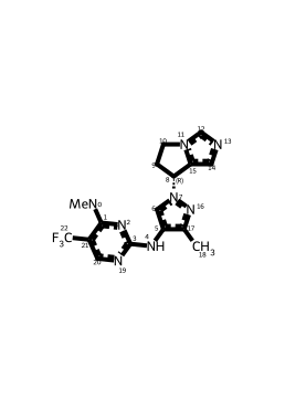 CNc1nc(Nc2cn([C@@H]3CCn4cncc43)nc2C)ncc1C(F)(F)F